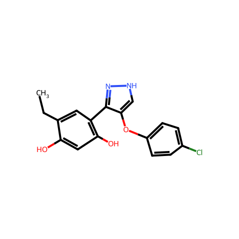 CCc1cc(-c2n[nH]cc2Oc2ccc(Cl)cc2)c(O)cc1O